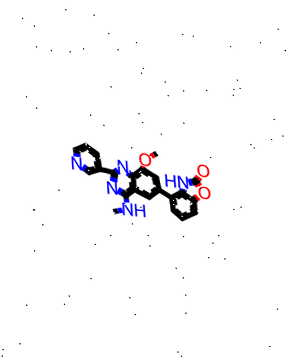 CNc1nc(-c2cccnc2)nc2c(OC)cc(-c3cccc4oc(=O)[nH]c34)cc12